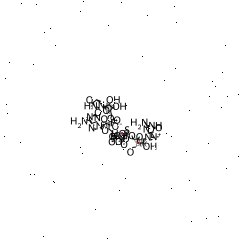 COCC[C@H]1[C@@H](O)[C@H](n2c[n+](C)c3c(=O)[nH]c(N)nc32)O[C@@H]1COP(O)(=S)OP(=O)(O)OP(=O)(O)OCC1O[C@@H](n2cnc3c(N)ncnc32)[C@H](OC)[C@@H]1P(=O)([O-])OC[C@H]1O[C@@H](n2ccc(=O)[nH]c2=O)[C@H](O)[C@@H]1O